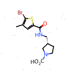 Cc1cc(C(=O)NC[C@@H]2CCN(C(=O)O)C2)sc1Br